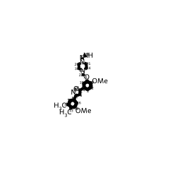 COc1ccc(C2CC(c3cc(C)c(C)c(OC)c3)=NO2)cc1OCN1CCN(N=N)CC1